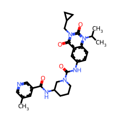 Cc1cncc(C(=O)NC2CCCN(C(=O)Nc3ccc4c(c3)c(=O)n(CC3CC3)c(=O)n4C(C)C)C2)c1